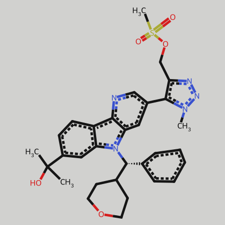 Cn1nnc(COS(C)(=O)=O)c1-c1cnc2c3ccc(C(C)(C)O)cc3n([C@H](c3ccccc3)C3CCOCC3)c2c1